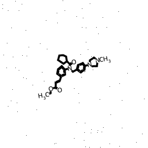 CCOC(=O)C=Cc1cccc(N(Cc2ccc(N3CCN(C)CC3)cc2)C(=O)C2CCCCC2)c1